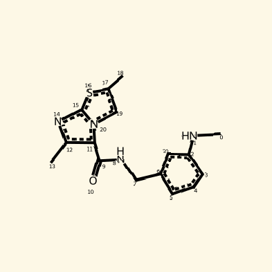 CNc1cccc(CNC(=O)c2c(C)nc3sc(C)cn23)c1